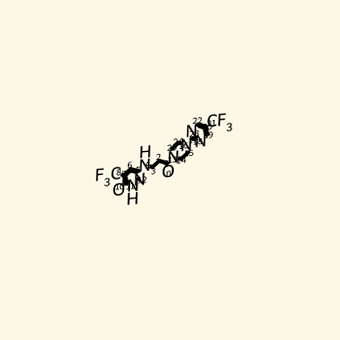 O=C(CCNc1cc(C(F)(F)F)c(=O)[nH]n1)N1CCN(c2ncc(C(F)(F)F)cn2)CC1